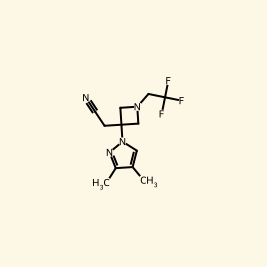 Cc1cn(C2(CC#N)CN(CC(F)(F)F)C2)nc1C